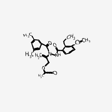 C=C(COC(C)=O)N(NC(=O)c1cccc(OC)c1CC)C(=O)c1cc(C)cc(C)c1